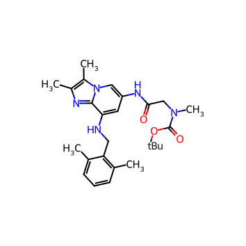 Cc1cccc(C)c1CNc1cc(NC(=O)CN(C)C(=O)OC(C)(C)C)cn2c(C)c(C)nc12